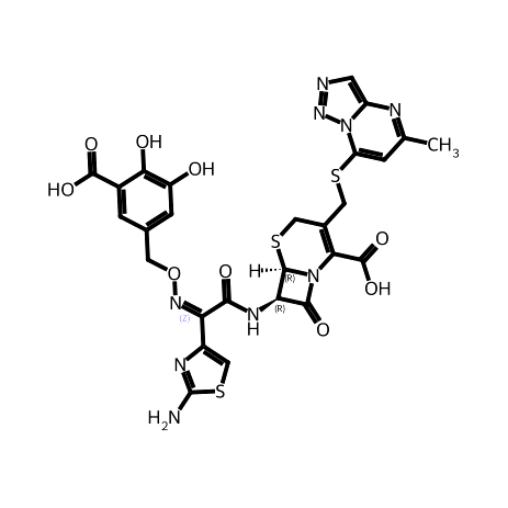 Cc1cc(SCC2=C(C(=O)O)N3C(=O)[C@@H](NC(=O)/C(=N\OCc4cc(O)c(O)c(C(=O)O)c4)c4csc(N)n4)[C@H]3SC2)n2nncc2n1